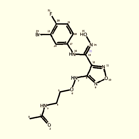 CC(=O)NCCONc1nonc1/C(=N/O)Nc1ccc(F)c(Br)c1